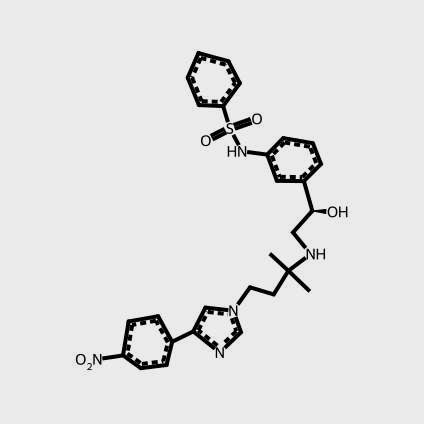 CC(C)(CCn1cnc(-c2ccc([N+](=O)[O-])cc2)c1)NC[C@H](O)c1cccc(NS(=O)(=O)c2ccccc2)c1